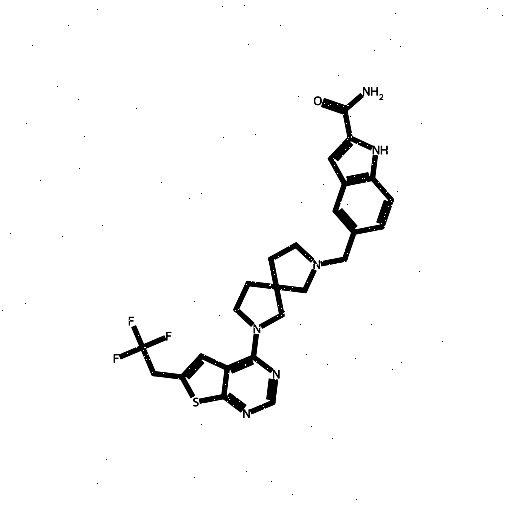 NC(=O)c1cc2cc(CN3CCC4(CCN(c5ncnc6sc(CC(F)(F)F)cc56)C4)C3)ccc2[nH]1